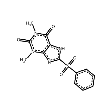 Cn1c(=O)c2[nH]c(S(=O)(=O)c3ccccc3)nc2n(C)c1=O